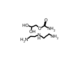 NC(=O)OCC(O)O.NCCNCCN